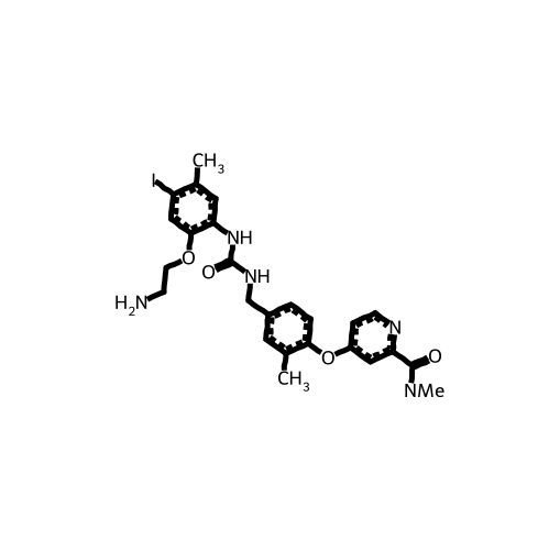 CNC(=O)c1cc(Oc2ccc(CNC(=O)Nc3cc(C)c(I)cc3OCCN)cc2C)ccn1